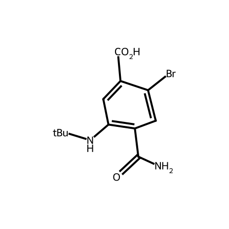 CC(C)(C)Nc1cc(C(=O)O)c(Br)cc1C(N)=O